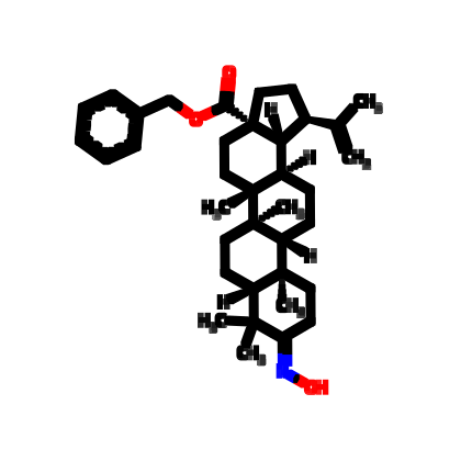 C=C(C)[C@@H]1CC[C@]2(C(=O)OCc3ccccc3)CC[C@]3(C)[C@H](CC[C@@H]4[C@@]5(C)CC/C(=N\O)C(C)(C)[C@@H]5CC[C@]43C)[C@@H]12